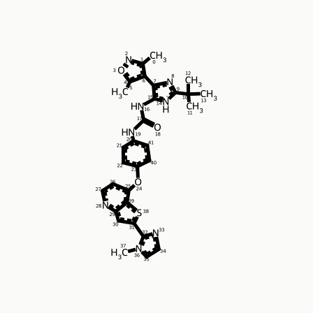 Cc1noc(C)c1-c1nc(C(C)(C)C)[nH]c1NC(=O)Nc1ccc(Oc2ccnc3cc(-c4nccn4C)sc23)cc1